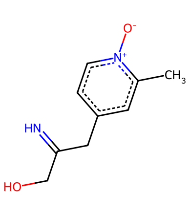 Cc1cc(CC(=N)CO)cc[n+]1[O-]